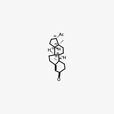 CC(=O)[C@H]1CC[C@H]2[C@@H]3CCC4=CC(=O)CC[C@]4(C)[C@@H]3CC[C@]12C